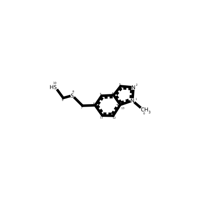 Cn1ncc2cc(CSCS)ccc21